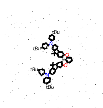 CC(C)(C)c1ccc(N(c2ccc(C(C)(C)C)cc2)c2ccc3c(c2)C(C)(C)c2cc4c(cc2-3)Oc2cccc3c2B4c2cc4c(cc2O3)-c2ccc(N(c3ccc(C(C)(C)C)cc3)c3ccc(C(C)(C)C)cc3)cc2C4(C)C)cc1